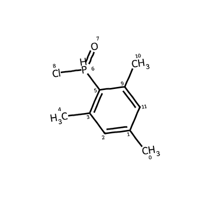 Cc1cc(C)c([PH](=O)Cl)c(C)c1